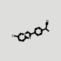 CC(C#N)c1ccc(-c2cn3cc(Cl)ccc3n2)cc1